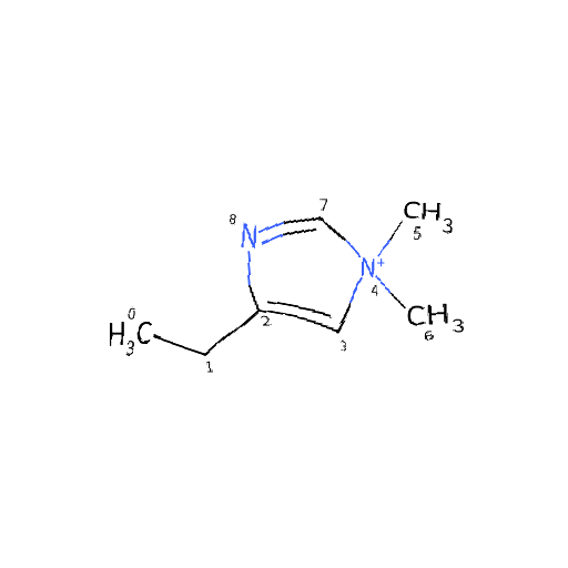 CCC1=C[N+](C)(C)C=N1